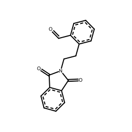 O=Cc1ccccc1CCN1C(=O)c2ccccc2C1=O